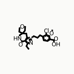 CCc1nn(CCCc2ccc(C(=O)O)c(OC)c2Cl)c2c1C(=O)NCC1(CCOCC1)C2